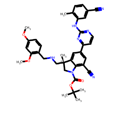 COc1ccc(CNC[C@@]2(C)CN(C(=O)OC(C)(C)C)c3c(C#N)cc(-c4ccnc(Nc5cc(C#N)ccc5C)n4)cc32)c(OC)c1